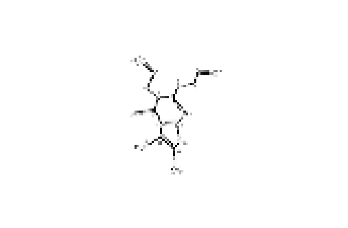 C=CCn1c(SC[C]=O)nc2sc(C)c(C)c2c1=O